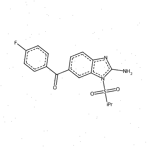 CC(C)S(=O)(=O)n1c(N)nc2ccc(C(=O)c3ccc(F)cc3)cc21